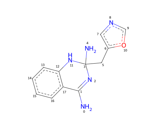 NC1=NC(N)(Cc2cnco2)Nc2ccccc21